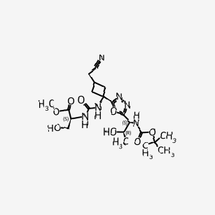 COC(=O)[C@H](CO)NC(=O)NC1(c2nnc([C@@H](NC(=O)OC(C)(C)C)[C@@H](C)O)o2)CC(CC#N)C1